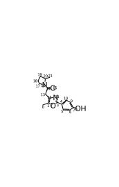 Cc1oc(-c2ccc(O)cc2)nc1CC(=O)N1CCCC1C